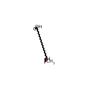 C[C@H]1C2(F)CC1(CCCCCCCCCCCCCCCCCCCCCC(=O)O)C2